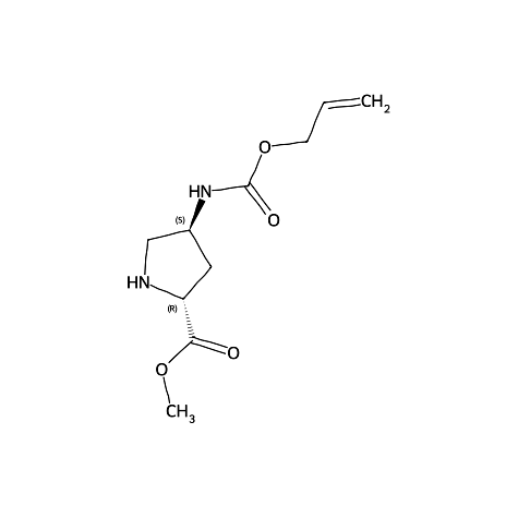 C=CCOC(=O)N[C@@H]1CN[C@@H](C(=O)OC)C1